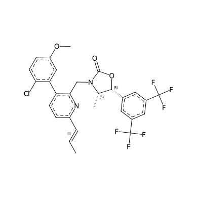 C/C=C/c1ccc(-c2cc(OC)ccc2Cl)c(CN2C(=O)O[C@H](c3cc(C(F)(F)F)cc(C(F)(F)F)c3)[C@@H]2C)n1